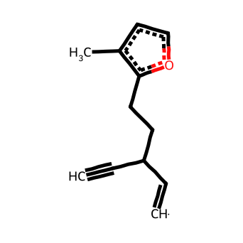 [CH]=CC(C#C)CCc1occc1C